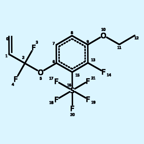 C=CC(F)(F)Oc1ccc(OCC)c(F)c1S(F)(F)(F)(F)F